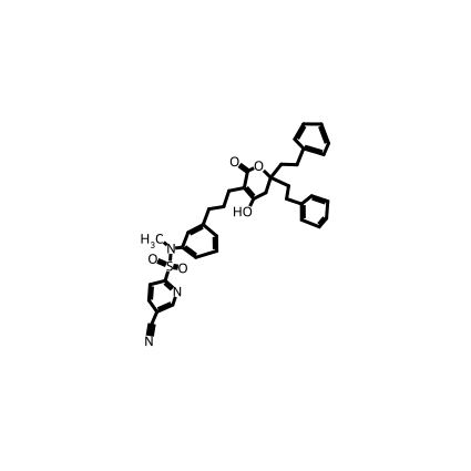 CN(c1cccc(CCCC2=C(O)CC(CCc3ccccc3)(CCc3ccccc3)OC2=O)c1)S(=O)(=O)c1ccc(C#N)cn1